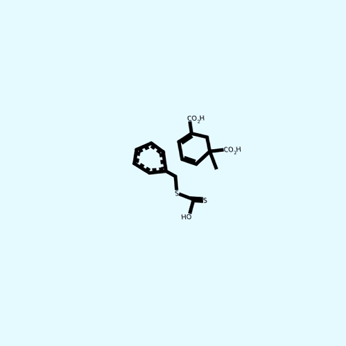 CC1(C(=O)O)C=CC=C(C(=O)O)C1.OC(=S)SCc1ccccc1